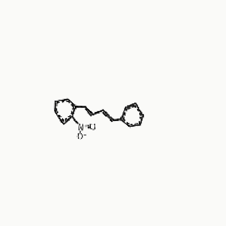 O=[N+]([O-])c1ccccc1C=CC=Cc1ccccc1